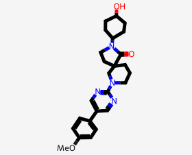 COc1ccc(-c2cnc(N3CCCC4(CCN(C5CCC(O)CC5)C4=O)C3)nc2)cc1